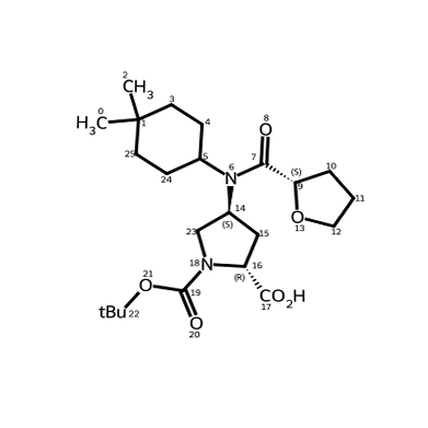 CC1(C)CCC(N(C(=O)[C@@H]2CCCO2)[C@H]2C[C@H](C(=O)O)N(C(=O)OC(C)(C)C)C2)CC1